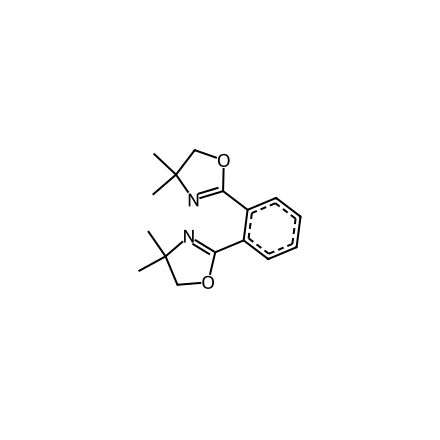 CC1(C)COC(c2ccccc2C2=NC(C)(C)CO2)=N1